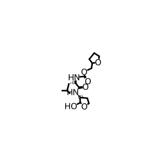 CC(C)C[C@H](NC(=O)OCC1CCCO1)C(=O)N[C@H]1CCOC1O